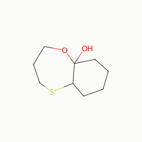 OC12CCCCC1SCCCO2